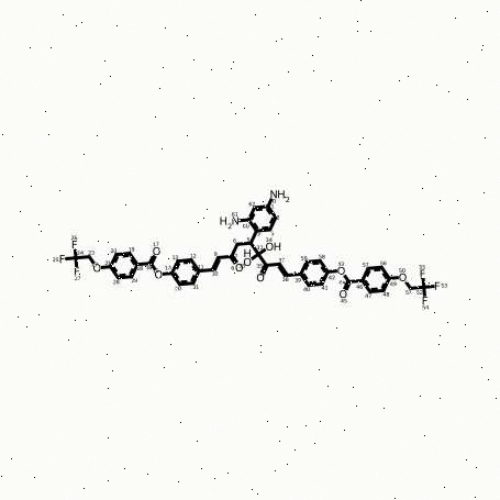 Nc1ccc(C(CC(=O)C=Cc2ccc(OC(=O)c3ccc(OCC(F)(F)F)cc3)cc2)C(O)(O)C(=O)C=Cc2ccc(OC(=O)c3ccc(OCC(F)(F)F)cc3)cc2)c(N)c1